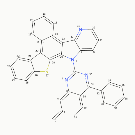 C=C/C=c1/nc(-n2c3cccnc3c3c4ccccc4c4c5ccccc5sc4c32)nc(-c2ccccc2)/c1=C/C